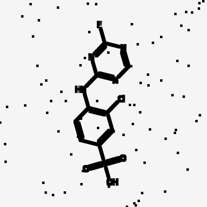 O=S(=O)(O)c1ccc(Nc2n[c]nc(F)n2)c(Cl)c1